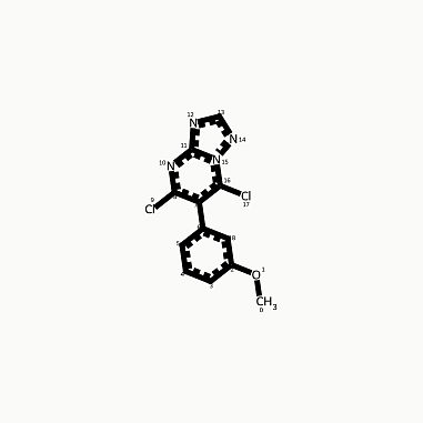 COc1cccc(-c2c(Cl)nc3ncnn3c2Cl)c1